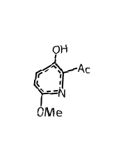 COc1ccc(O)c(C(C)=O)n1